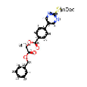 CCCCCCCCCCSc1ncc(-c2ccc(C(=O)O[C@@H](C)C(=O)OCc3ccccc3)cc2)cn1